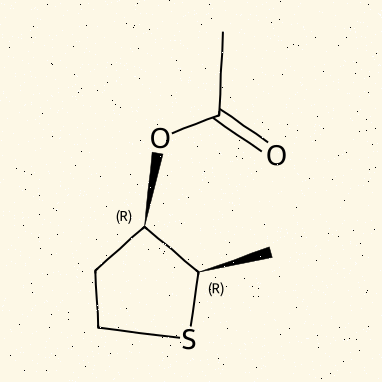 CC(=O)O[C@@H]1CCS[C@@H]1C